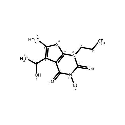 CCn1c(=O)c2c(C(C)O)c(C(=O)O)sc2n(CCC(F)(F)F)c1=O